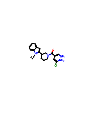 Cn1c(C2CCCN(C(=O)C(/C=C(\N)Cl)=C/N)C2)cc2ccccc21